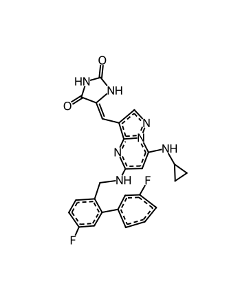 O=C1NC(=O)/C(=C/c2cnn3c(NC4CC4)cc(NCc4ccc(F)cc4-c4cccc(F)c4)nc23)N1